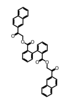 O=C(COC(=O)c1ccccc1-c1ccccc1C(=O)OCC(=O)c1ccc2ccccc2c1)c1ccc2ccccc2c1